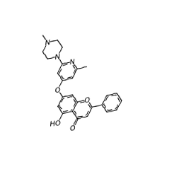 Cc1cc(Oc2cc(O)c3c(=O)cc(-c4ccccc4)oc3c2)cc(N2CCN(C)CC2)n1